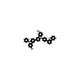 Brc1ccc2c(c1)c1cc(-c3ccc4c(c3)c3cc(Br)ccc3n4-c3ccc(-c4cccc5c4oc4ccccc45)cc3)ccc1n2-c1ccccc1